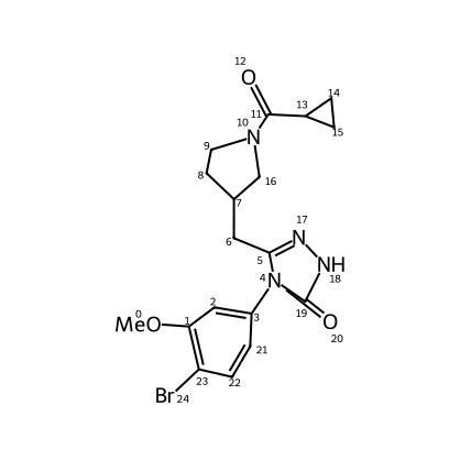 COc1cc(-n2c(CC3CCN(C(=O)C4CC4)C3)n[nH]c2=O)ccc1Br